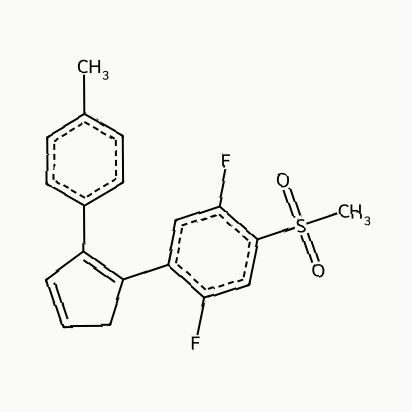 Cc1ccc(C2=C(c3cc(F)c(S(C)(=O)=O)cc3F)CC=C2)cc1